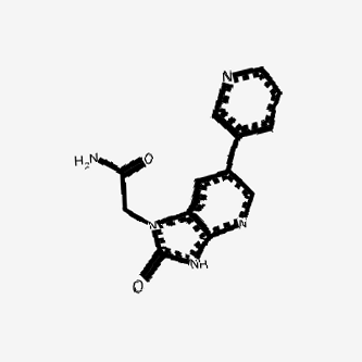 NC(=O)Cn1c(=O)[nH]c2ncc(-c3cccnc3)cc21